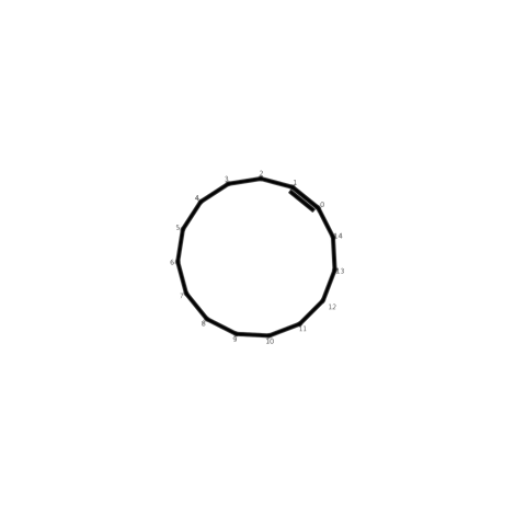 [C]1=C\CCCCCCCCCCCCC/1